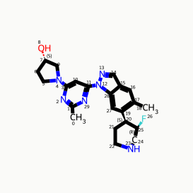 Cc1nc(N2CC[C@H](O)C2)cc(-n2ncc3cc(C)c([C@@H]4CCNC[C@@H]4F)cc32)n1